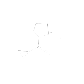 CC(C)(C)[C@H]1CCCN1C(=O)C1CC1